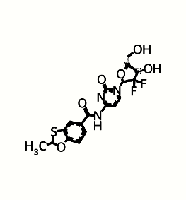 CC1Oc2ccc(C(=O)Nc3ccn(C4O[C@H](CO)[C@@H](O)C4(F)F)c(=O)n3)cc2S1